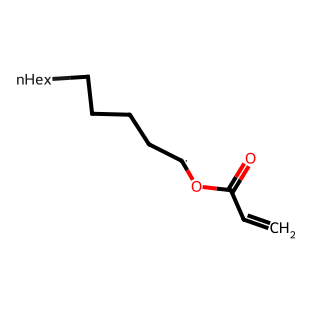 [CH2]CCCCCCCCC[CH]OC(=O)C=C